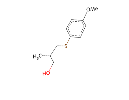 COc1ccc(SCC(C)CO)cc1